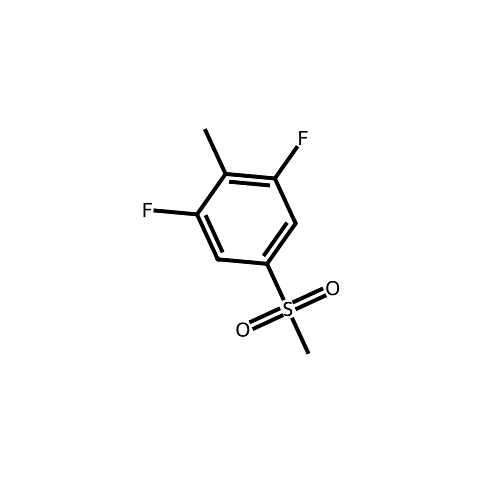 Cc1c(F)cc(S(C)(=O)=O)cc1F